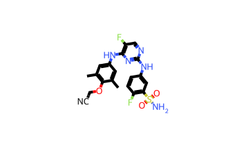 Cc1cc(Nc2nc(Nc3ccc(F)c(S(N)(=O)=O)c3)ncc2F)cc(C)c1OCC#N